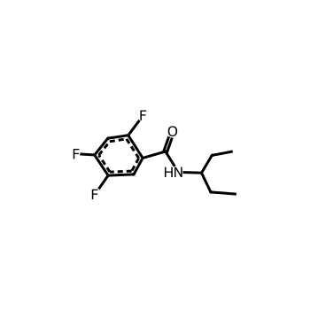 CCC(CC)NC(=O)c1cc(F)c(F)cc1F